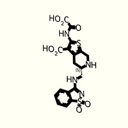 O=C(O)C(=O)Nc1sc2c(c1C(=O)O)C[C@@H](CNC1=NS(=O)(=O)c3ccccc31)NC2